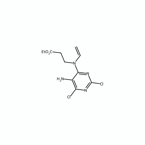 C=CN(CCC(=O)OCC)c1nc(Cl)nc(Cl)c1N